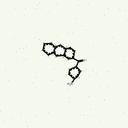 Nc1ccc(C(=O)c2ccc3cc4ccccc4cc3c2)cc1